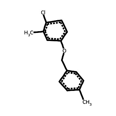 Cc1ccc(COc2ccc(Cl)c(C)c2)cc1